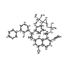 Cc1c(-c2ccncc2)cccc1[C@H](Nc1cc(Cl)c2ncc(C#N)c(NCC(C)(C)C)c2c1)c1cn(C2(C(F)(F)F)CC2)nn1